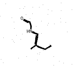 CCC(C)=CNC=O